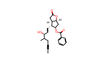 CC#CCC(C)[C@@H](O)/C=C/[C@@H]1[C@H]2CC(=O)O[C@H]2C[C@H]1OC(=O)c1ccccc1